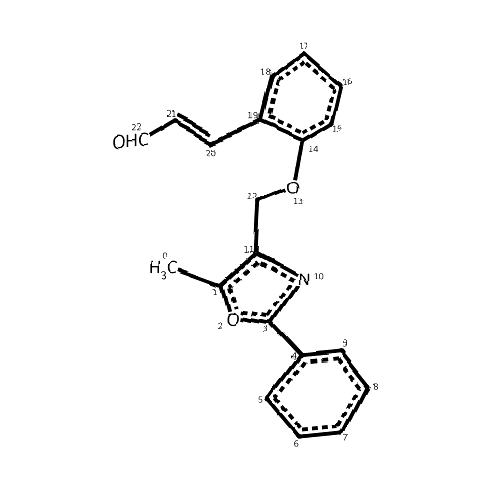 Cc1oc(-c2ccccc2)nc1COc1ccccc1C=CC=O